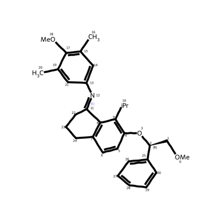 COC[C@H](Oc1ccc2c(c1C(C)C)/C(=N/c1cc(C)c(OC)c(C)c1)CCC2)c1ccccc1